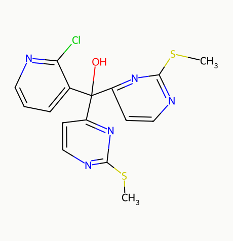 CSc1nccc(C(O)(c2ccnc(SC)n2)c2cccnc2Cl)n1